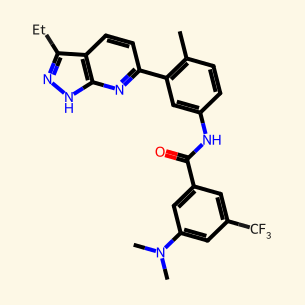 CCc1n[nH]c2nc(-c3cc(NC(=O)c4cc(N(C)C)cc(C(F)(F)F)c4)ccc3C)ccc12